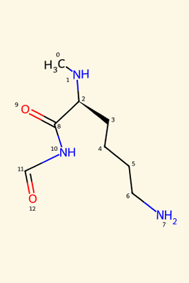 CN[C@@H](CCCCN)C(=O)NC=O